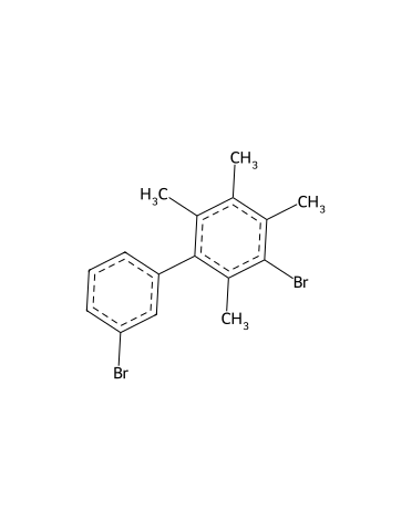 Cc1c(C)c(Br)c(C)c(-c2cccc(Br)c2)c1C